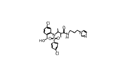 CC(C(=O)NCCCn1ccnc1)C(C)N(c1cc(Cl)ccc1CO)S(=O)(=O)c1ccc(Cl)cc1